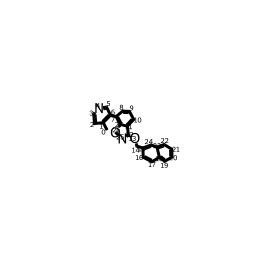 Cc1ccncc1-c1cccc2c(OCc3ccc4ccccc4c3)noc12